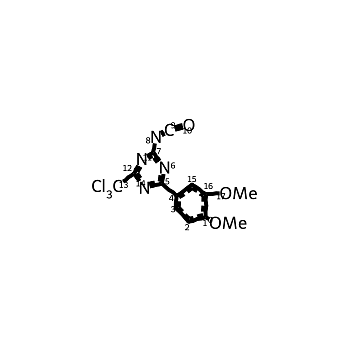 COc1ccc(-c2nc(N=C=O)nc(C(Cl)(Cl)Cl)n2)cc1OC